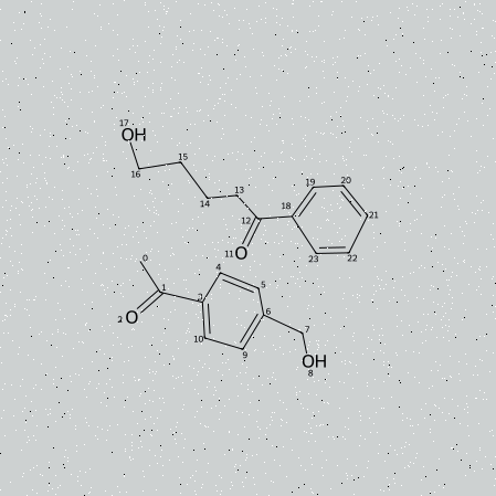 CC(=O)c1ccc(CO)cc1.O=C(CCCCO)c1ccccc1